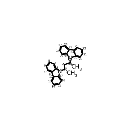 C[C@H](C[C@H](C)n1c2ccccc2c2ccccc21)n1c2ccccc2c2ccccc21